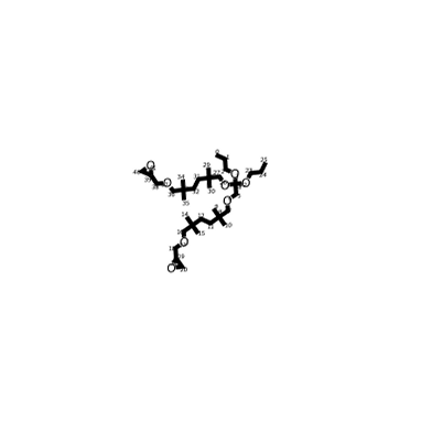 CCCOC(COCC(C)(C)CCC(C)(C)COCC1CO1)(OCCC)OCC(C)(C)CCC(C)(C)COCC1CO1